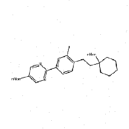 CCCCCCCCCc1cnc(-c2ccc(CCC3(CCCCCCCCC)CCCCC3)c(C)c2)nc1